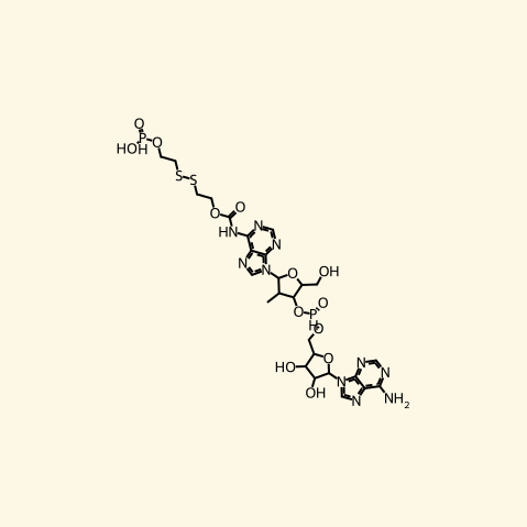 CC1C(O[PH](=O)OCC2OC(n3cnc4c(N)ncnc43)C(O)C2O)C(CO)OC1n1cnc2c(NC(=O)OCCSSCCO[PH](=O)O)ncnc21